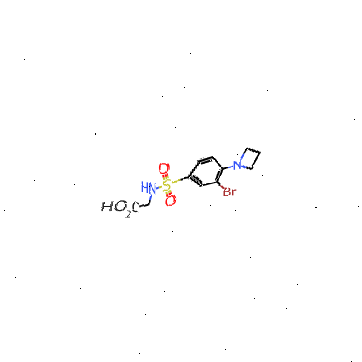 O=C(O)CNS(=O)(=O)c1ccc(N2CCC2)c(Br)c1